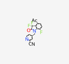 CC(=O)c1ccc(F)c2c1C(F)(F)C(=O)N2Cc1ccnc(C#N)c1